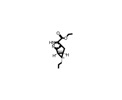 CCC[C@H]1[C@@H]2Cc3c(n[nH]c3C(=O)OCC)[C@H]12